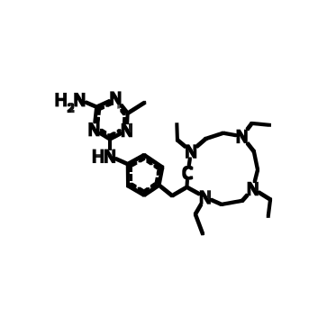 CCN1CCN(CC)CCN(CC)C(Cc2ccc(Nc3nc(C)nc(N)n3)cc2)CN(CC)CC1